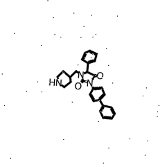 O=C1C(c2ccccc2)N(CC2CCNCC2)C(=O)N1c1ccc(-c2ccccc2)cc1